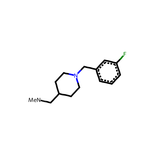 CNCC1CCN(Cc2cccc(F)c2)CC1